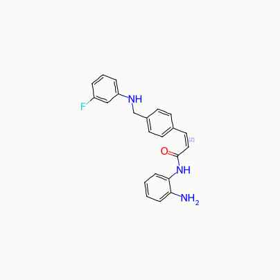 Nc1ccccc1NC(=O)/C=C\c1ccc(CNc2cccc(F)c2)cc1